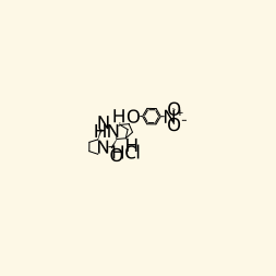 Cl.N#C[C@@H]1CCCN1C(=O)[C@H]1N[C@@H]2C[C@H]1C[C@H]2Oc1ccc([N+](=O)[O-])cc1